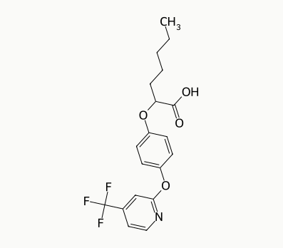 CCCCCC(Oc1ccc(Oc2cc(C(F)(F)F)ccn2)cc1)C(=O)O